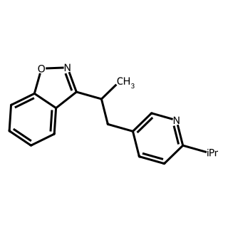 CC(C)c1ccc(CC(C)c2noc3ccccc23)cn1